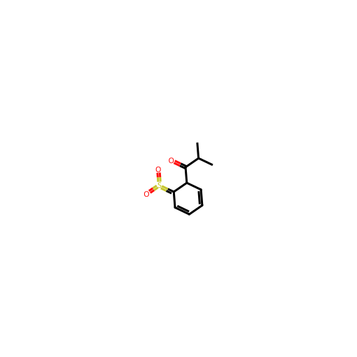 CC(C)C(=O)C1C=CC=CC1=S(=O)=O